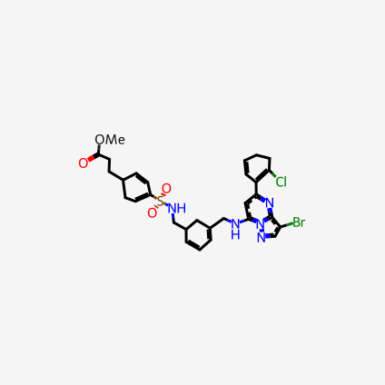 COC(=O)CCC1C=CC(S(=O)(=O)NCC2C=CC=C(CNc3cc(C4=C(Cl)CCC=C4)nc4c(Br)cnn34)C2)=CC1